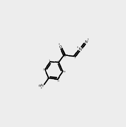 CCCc1ccc(C(=O)C=[N+]=[N-])cc1